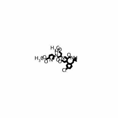 COCCC(C(=O)Nc1ccc(C(=O)OC)nc1)n1cc2c(cc1=O)-c1cc(Cl)ccc1CC1(CC1)NC2=O